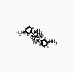 NCC(N)(S(=O)(=O)c1cccc(N)c1)S(=O)(=O)c1cccc(N)c1